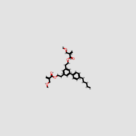 C=C(COC)C(=O)OCCc1cc(CCOC(=O)C(=C)COC)cc(-c2ccc(CCCCC)cc2)c1